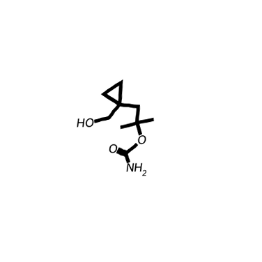 CC(C)(CC1(CO)CC1)OC(N)=O